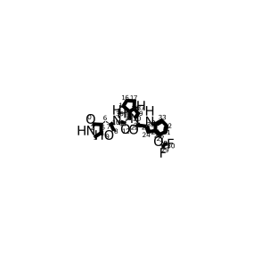 O=C1NCC[C@H]1C[C@@H](CO)NC(=O)[C@@H]1[C@H]2CCC[C@H]2CN1C(=O)c1cc2c(OC(F)F)cccc2[nH]1